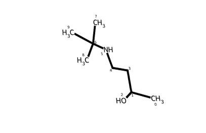 CC(O)CCNC(C)(C)C